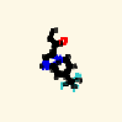 CCC(=O)c1cnc2cc(C(F)(F)F)ccn12